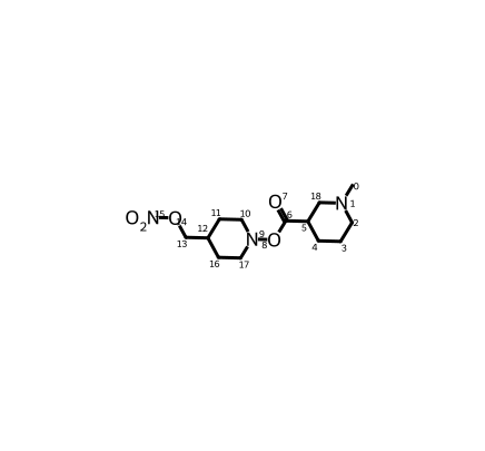 CN1CCCC(C(=O)ON2CCC(CO[N+](=O)[O-])CC2)C1